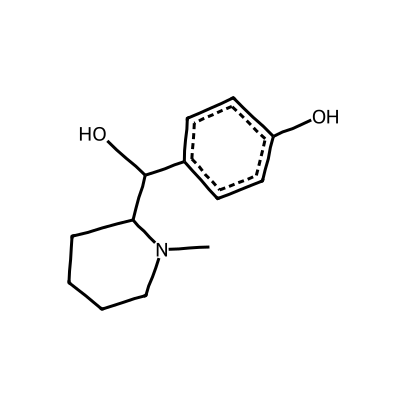 CN1CCCCC1C(O)c1ccc(O)cc1